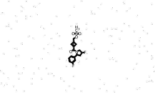 CS(=O)(=O)OCC12CC(C(=O)N3CC(F)CC3c3cccc(F)c3)(C1)C2